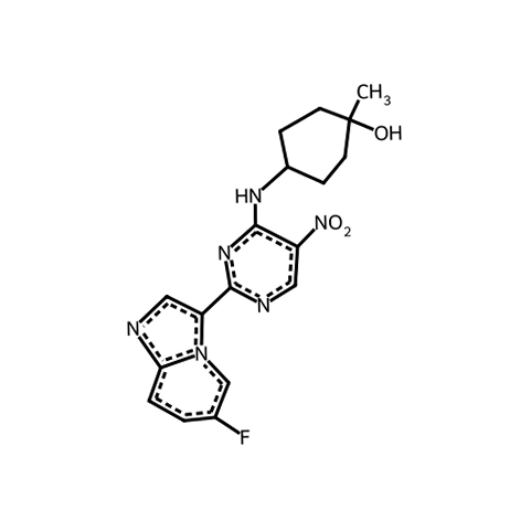 CC1(O)CCC(Nc2nc(-c3cnc4ccc(F)cn34)ncc2[N+](=O)[O-])CC1